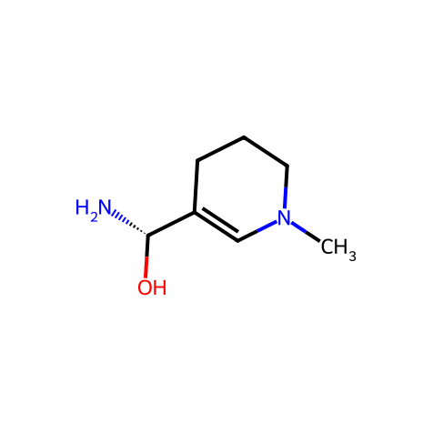 CN1C=C([C@@H](N)O)CCC1